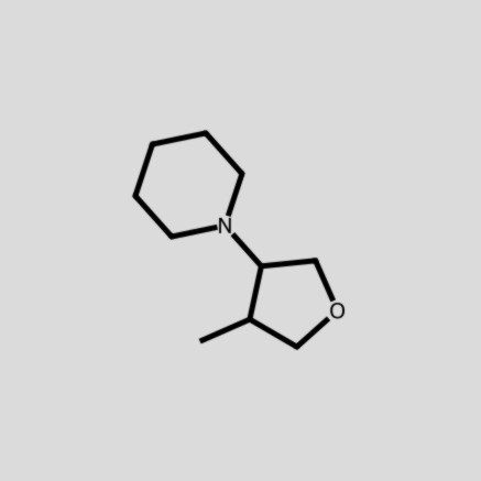 CC1COCC1N1CCCCC1